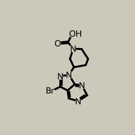 O=C(O)N1CCCC(n2nc(Br)c3cncnc32)C1